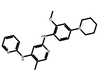 COc1cc(N2CCCCC2)ccc1Nc1cc(Nc2ccccn2)c(C)cn1